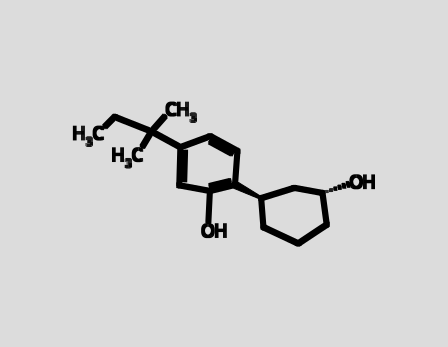 CCC(C)(C)c1ccc([C@@H]2CCC[C@@H](O)C2)c(O)c1